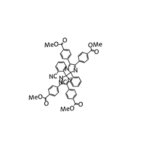 COC(=O)c1ccc(C2=NC(c3ccccc3C#N)(C3(c4ccccc4C#N)N=C(c4ccc(C(=O)OC)cc4)C(c4ccc(C(=O)OC)cc4)=N3)N=C2c2ccc(C(=O)OC)cc2)cc1